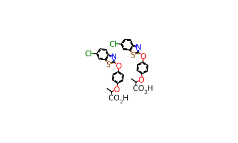 CC(Oc1ccc(Oc2nc3ccc(Cl)cc3s2)cc1)C(=O)O.CC(Oc1ccc(Oc2nc3ccc(Cl)cc3s2)cc1)C(=O)O